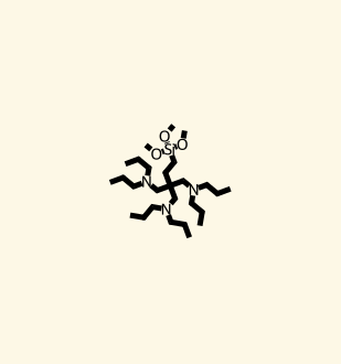 CCCN(CCC)CC(CC[Si](OC)(OC)OC)(CN(CCC)CCC)CN(CCC)CCC